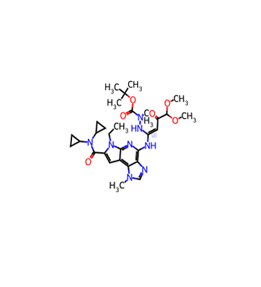 CCn1c(C(=O)N(C2CC2)C2CC2)cc2c3c(ncn3C)c(N/C(=C/C(=O)C(OC)OC)NN(C)C(=O)OC(C)(C)C)nc21